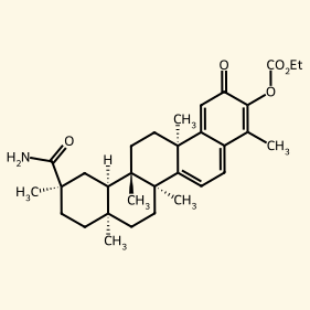 CCOC(=O)OC1=C(C)C2=CC=C3[C@@](C)(CC[C@@]4(C)[C@@H]5C[C@](C)(C(N)=O)CC[C@]5(C)CC[C@]34C)C2=CC1=O